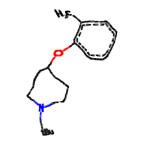 Cc1ccccc1OC1CCN(C(C)(C)C)CC1